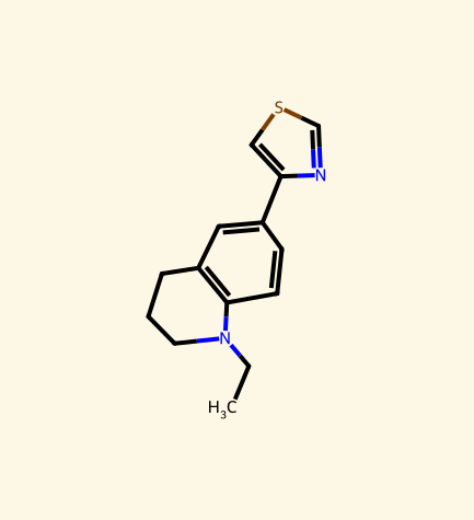 CCN1CCCc2cc(-c3cscn3)ccc21